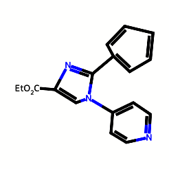 CCOC(=O)c1cn(-c2ccncc2)c(-c2ccccc2)n1